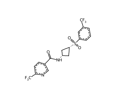 O=C(N[C@H]1C[C@@H](S(=O)(=O)c2cccc(C(F)(F)F)c2)C1)c1ccc(C(F)(F)F)nc1